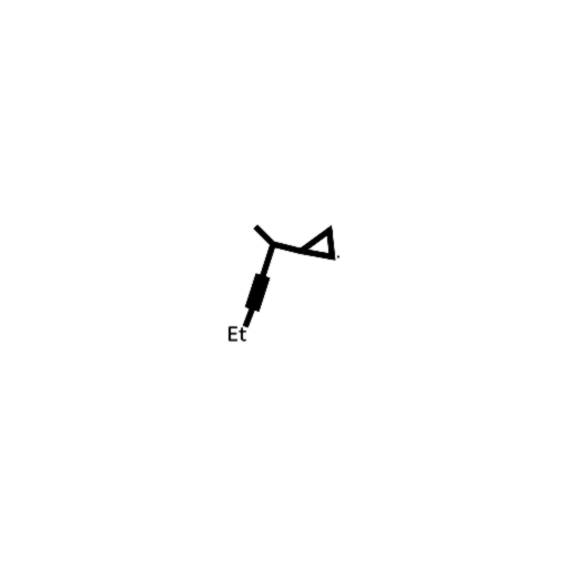 CCC#CC(C)C1[CH]C1